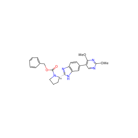 COc1ncc(-c2ccc3nc([C@@H]4CCCN4C(=O)OCc4ccccc4)[nH]c3c2)c(OC)n1